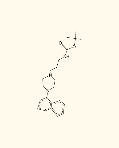 CC(C)(C)OC(=O)NCCCN1CCN(c2cccc3ccccc23)CC1